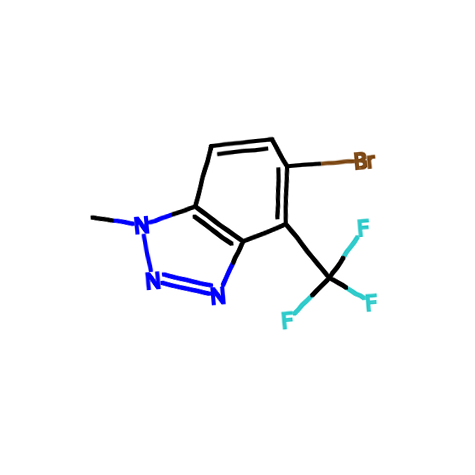 Cn1nnc2c(C(F)(F)F)c(Br)ccc21